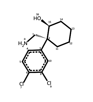 NC[C@@]1(c2ccc(Cl)c(Cl)c2)CCCC[C@@H]1O